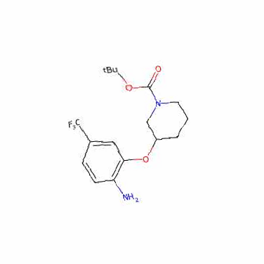 CC(C)(C)OC(=O)N1CCCC(Oc2cc(C(F)(F)F)ccc2N)C1